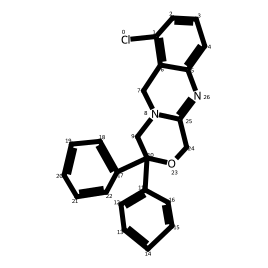 Clc1cccc2c1CN1CC(c3ccccc3)(c3ccccc3)OCC1=N2